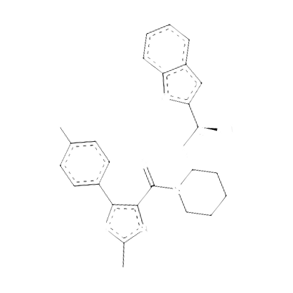 Cc1nc(C(=O)N2CCCC[C@H]2C[C@H](O)c2cc3ccccc3o2)c(-c2ccc(F)cc2)s1